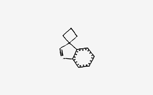 C1=Nc2ccccc2C12CCC2